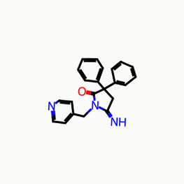 N=C1CC(c2ccccc2)(c2ccccc2)C(=O)N1Cc1ccncc1